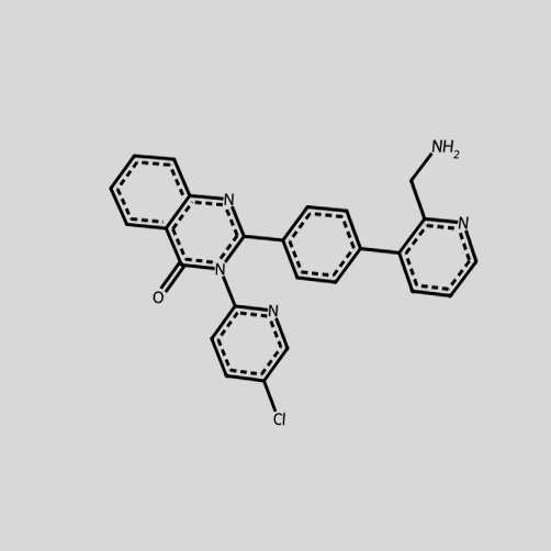 NCc1ncccc1-c1ccc(-c2nc3ccccc3c(=O)n2-c2ccc(Cl)cn2)cc1